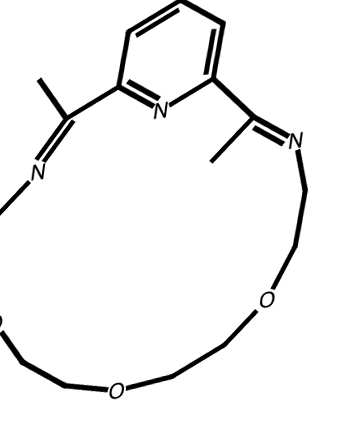 C/C1=N\CCOCCOCCOCC/N=C(\C)c2cccc1n2